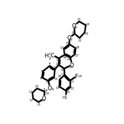 CC1=C(c2cccc(O[C@H]3CCCCO3)c2)C(c2ccc(I)cc2F)Oc2ccc(OC3CCCCO3)cc21